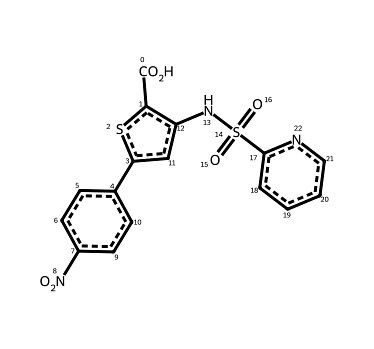 O=C(O)c1sc(-c2ccc([N+](=O)[O-])cc2)cc1NS(=O)(=O)c1ccccn1